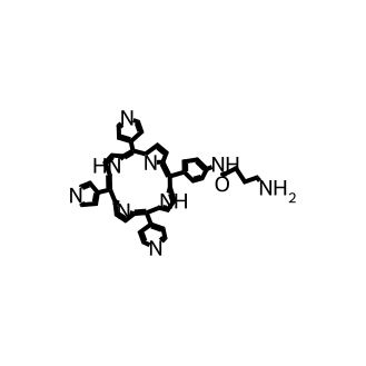 NCCCC(=O)Nc1ccc(-c2c3nc(c(-c4ccncc4)c4ccc([nH]4)c(-c4ccncc4)c4nc(c(-c5ccncc5)c5ccc2[nH]5)C=C4)C=C3)cc1